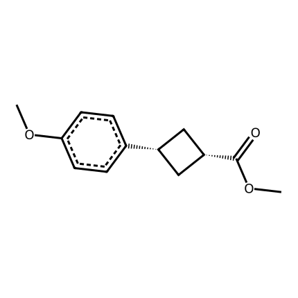 COc1ccc([C@H]2C[C@@H](C(=O)OC)C2)cc1